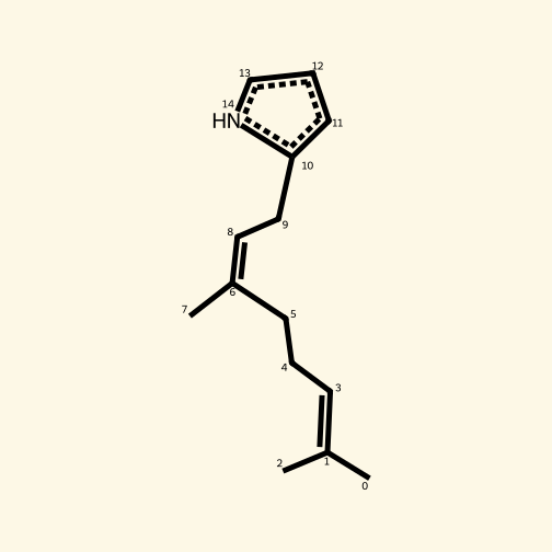 CC(C)=CCCC(C)=CCc1ccc[nH]1